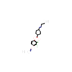 C/C=C/Oc1ccc(OC(=O)C2CCC(/C=C/CCC)CC2)c(F)c1F